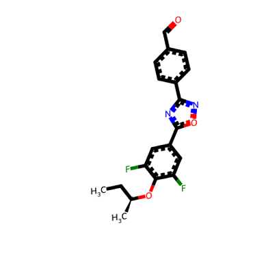 CC[C@H](C)Oc1c(F)cc(-c2nc(-c3ccc(C=O)cc3)no2)cc1F